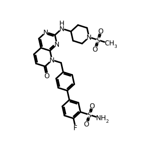 CS(=O)(=O)N1CCC(Nc2ncc3ccc(=O)n(Cc4ccc(-c5ccc(F)c(S(N)(=O)=O)c5)cc4)c3n2)CC1